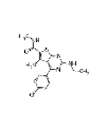 CCNc1nc(-c2ccc(Cl)cc2)c2c(N)c(C(=O)NC)sc2n1